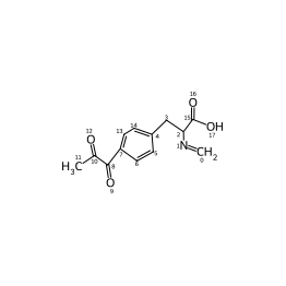 C=NC(Cc1ccc(C(=O)C(C)=O)cc1)C(=O)O